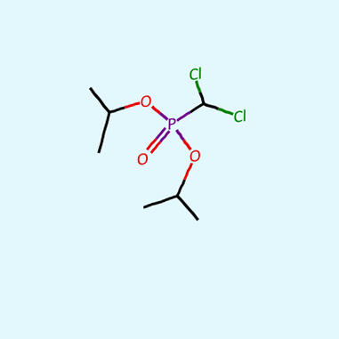 CC(C)OP(=O)(OC(C)C)C(Cl)Cl